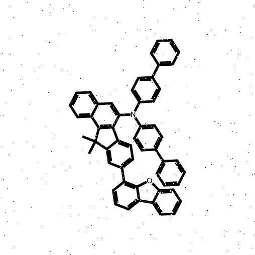 CC1(C)c2cc(-c3cccc4c3oc3ccccc34)ccc2-c2c(N(c3ccc(-c4ccccc4)cc3)c3ccc(-c4ccccc4)cc3)cc3ccccc3c21